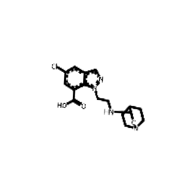 O=C(O)c1cc(Cl)cc2cnn(CCNC3CN4CCC3CC4)c12